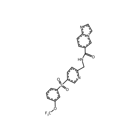 O=C(NCc1ccc(S(=O)(=O)c2cccc(OC(F)(F)F)c2)cn1)c1ccc2nccn2c1